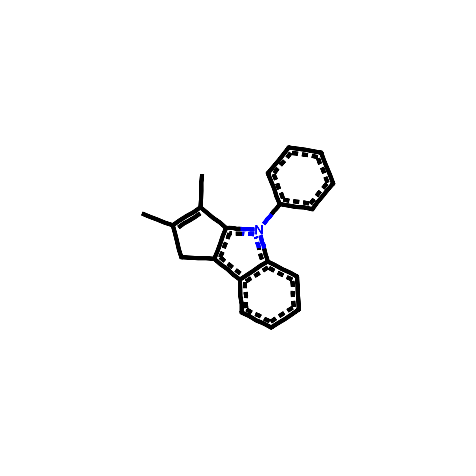 CC1=C(C)c2c(c3ccccc3n2-c2ccccc2)C1